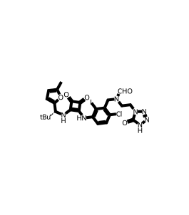 Cc1ccc([C@H](Nc2c(Nc3ccc(Cl)c(CN(C=O)CCn4nn[nH]c4=O)c3I)c(=O)c2=O)C(C)(C)C)o1